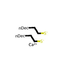 CCCCCCCCCCCC[S-].CCCCCCCCCCCC[S-].[Ca+2]